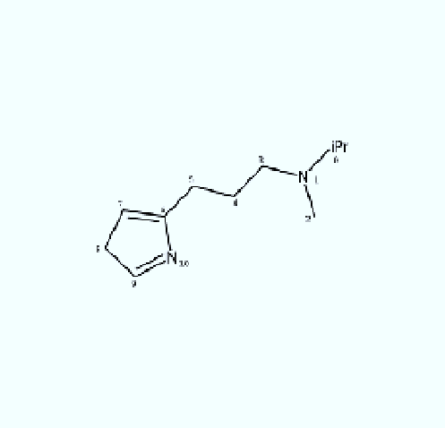 CC(C)N(C)CCCC1=CCC=N1